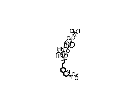 COC[C@H](NC(=O)[C@@H](NC(=O)C(C)(C)C=Cc1ccc2ccc([C@@H](C)OC(C)=O)nc2c1)C(C)C)C(=O)N1CCC[C@@H](C(=O)OCC(Cl)(Cl)Cl)N1